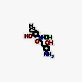 Cc1ccc(NC(=O)C=Cc2cc(N)ccc2O)cc1O.Cl